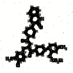 CCOC(=O)OC1CN(C)CCN1C1CCN(C(=O)C(CC(=O)N2CCC(N3Cc4ccccc4NC3=O)CC2)Cc2ccc(Cl)c(C)c2)CC1